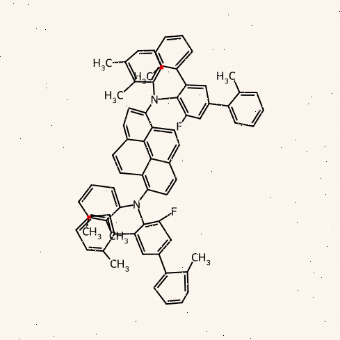 Cc1ccccc1-c1cc(F)c(N(c2cccc(C)c2C)c2ccc3ccc4c(N(c5cccc(C)c5C)c5c(F)cc(-c6ccccc6C)cc5-c5ccccc5C)ccc5ccc2c3c54)c(-c2ccccc2C)c1